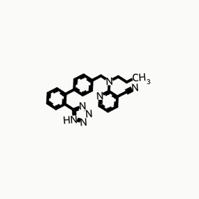 CCCN(Cc1ccc(-c2ccccc2-c2nnn[nH]2)cc1)c1ncccc1C#N